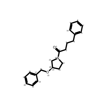 O=C(CCCc1ccccc1)N1CC[C@@H](OCc2ccccc2)C1